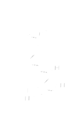 CCCCCCCCC(=O)OCC=C(C)C=CC=C(C)C=CC1=C(C)CCCC1(C)C